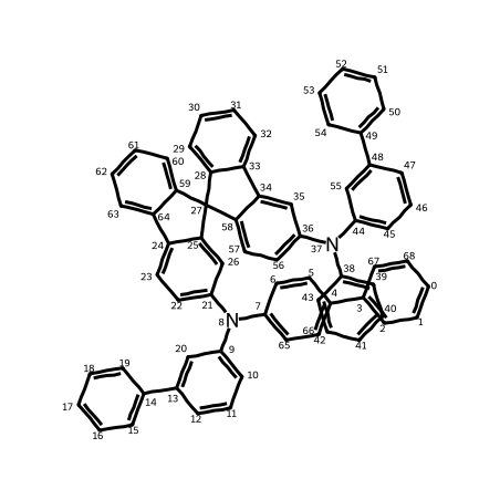 c1ccc(-c2ccc(N(c3cccc(-c4ccccc4)c3)c3ccc4c(c3)C3(c5ccccc5-c5cc(N(c6ccccc6)c6cccc(-c7ccccc7)c6)ccc53)c3ccccc3-4)cc2)cc1